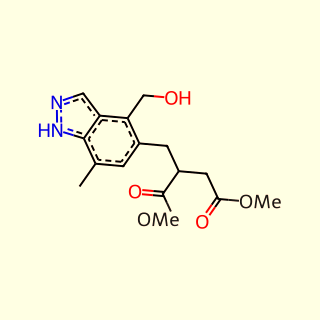 COC(=O)CC(Cc1cc(C)c2[nH]ncc2c1CO)C(=O)OC